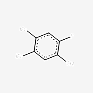 CC(C)c1cc(F)c(C#N)cc1C(C)C